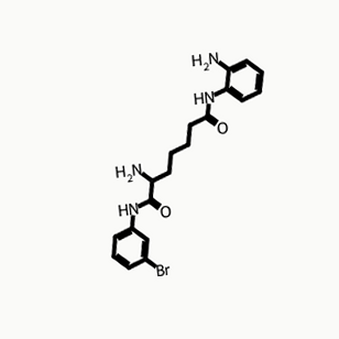 Nc1ccccc1NC(=O)CCCCC(N)C(=O)Nc1cccc(Br)c1